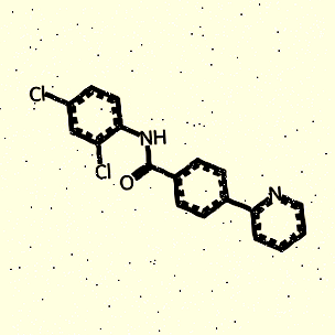 O=C(Nc1ccc(Cl)cc1Cl)c1ccc(-c2ccccn2)cc1